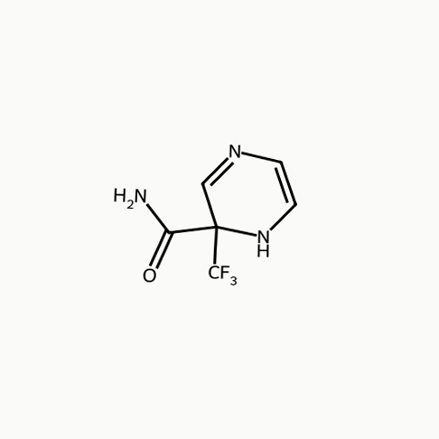 NC(=O)C1(C(F)(F)F)C=NC=CN1